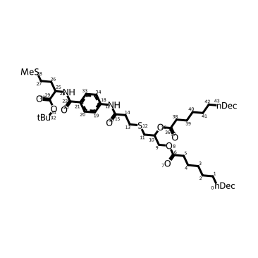 CCCCCCCCCCCCCCCC(=O)OCC(CSCCC(=O)Nc1ccc(C(=O)NC(CCSC)C(=O)OC(C)(C)C)cc1)OC(=O)CCCCCCCCCCCCCCC